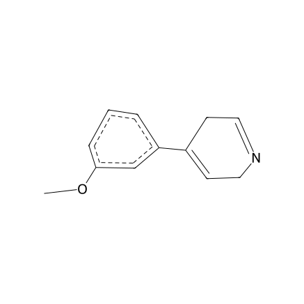 COc1cccc(C2=CCN=CC2)c1